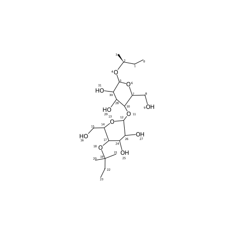 CC[C@H](C)OC1OC(CO)C(OC2OC(CO)C(OC(C)(C)CC)C(O)C2O)C(O)C1O